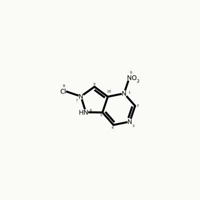 O=[N+]([O-])N1C=NC=C2NN(Cl)C=C21